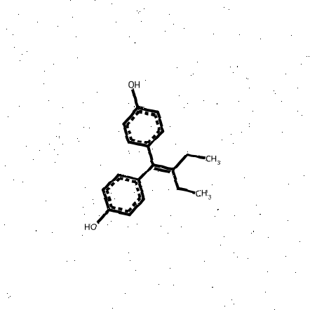 CCC(CC)=C(c1ccc(O)cc1)c1ccc(O)cc1